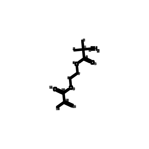 BC(C)(C)C(=O)OCCOC(=O)C(=C)C